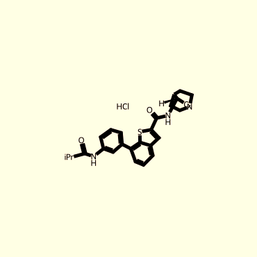 CC(C)C(=O)Nc1cccc(-c2cccc3cc(C(=O)N[C@H]4CN5CCC4CC5)sc23)c1.Cl